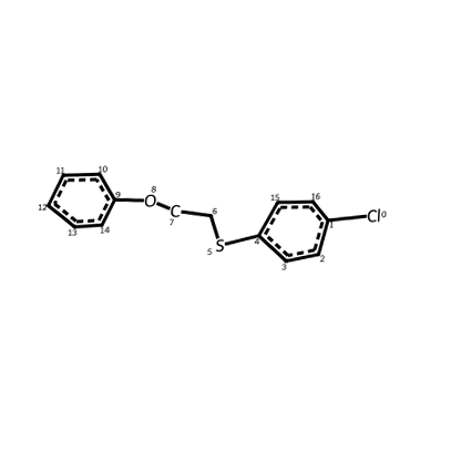 Clc1ccc(SCCOc2ccccc2)cc1